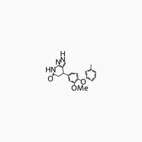 COc1cc(C2CC(=O)Nc3n[nH]cc32)ccc1Oc1cccc(C)c1